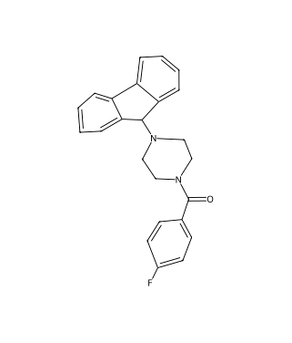 O=C(c1ccc(F)cc1)N1CCN(C2c3ccccc3-c3ccccc32)CC1